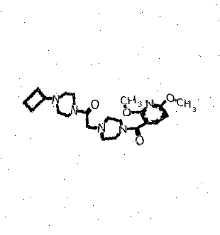 COc1ccc(C(=O)N2CCN(CC(=O)N3CCN(C4CCC4)CC3)CC2)c(OC)n1